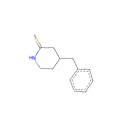 S=C1CC(Cc2ccccc2)CCN1